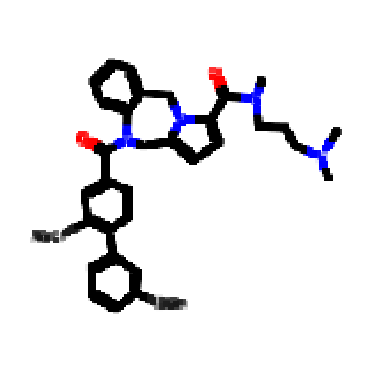 COc1cccc(-c2ccc(C(=O)N3Cc4ccc(C(=O)N(C)CCCN(C)C)n4Cc4ccccc43)cc2OC)c1